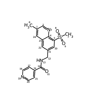 Cc1cnc2c(S(C)(=O)=O)cc(CNC(=O)c3ccncc3)cc2c1